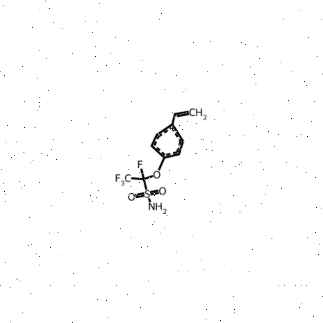 C=Cc1ccc(OC(F)(C(F)(F)F)S(N)(=O)=O)cc1